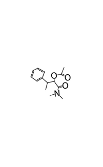 CC(=O)OC(C(=O)N(C)C)C(C)c1ccccc1